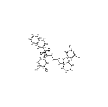 Cc1cc(C)cc(C[N+]2(CCCCN(c3ccc(F)c(Cl)c3)S(=O)(=O)c3ccc4ccccc4c3)CCCCC2)c1